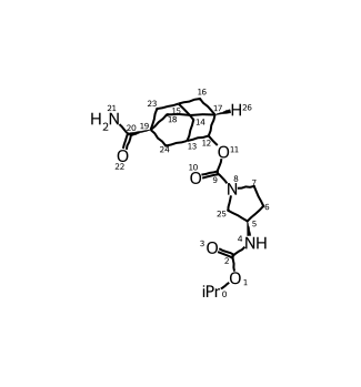 CC(C)OC(=O)N[C@@H]1CCN(C(=O)OC2C3CC4C[C@H]2C[C@@](C(N)=O)(C4)C3)C1